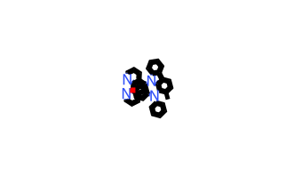 Cc1ccc2c3ccccc3n(-c3cc4cccnc4c4ncccc34)c2c1N(c1ccccc1)c1ccccc1